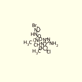 COc1cc(Cl)cc2c3c(N)ncnc3n(CC(=O)N3[C@H](C)[C@H](C)C[C@H]3C(=O)Nc3cccc(Br)n3)c12